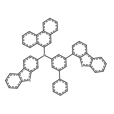 c1ccc(-c2cc(-c3cccc4c3sc3ccccc34)cc(N(c3ccc4c(c3)sc3ccccc34)c3cc4ccccc4c4ccccc34)c2)cc1